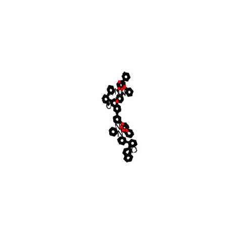 c1ccc(-c2ccc(N(c3cccc(-c4cccc5oc6c7cc(-c8ccc9c(c8)c8ccccc8n9-c8ccccc8N(c8cccc(-c9cccc%10oc%11c%12ccccc%12ccc%11c9%10)c8)c8cccc9ccccc89)ccc7ccc6c45)c3)c3ccccc3-n3c4ccccc4c4ccccc43)cc2)cc1